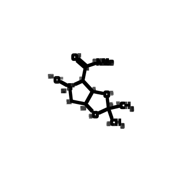 CNC(=O)C1C2OC(C)(C)OC2C[S+]1[O-]